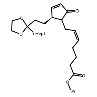 CCCCCCCC1(CC[C@H]2C=CC(=O)C2C/C=C\CCCC(=O)OC(C)C)OCCO1